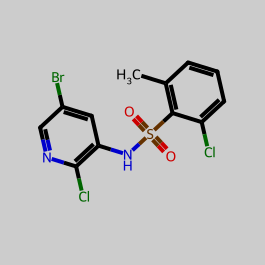 Cc1cccc(Cl)c1S(=O)(=O)Nc1cc(Br)cnc1Cl